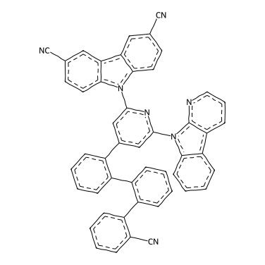 N#Cc1ccc2c(c1)c1cc(C#N)ccc1n2-c1cc(-c2ccccc2-c2ccccc2-c2ccccc2C#N)cc(-n2c3ccccc3c3cccnc32)n1